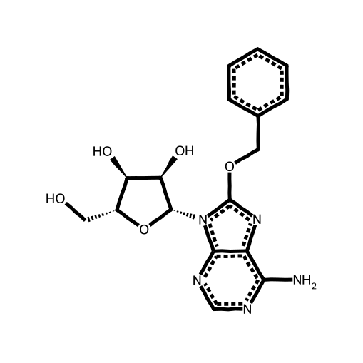 Nc1ncnc2c1nc(OCc1ccccc1)n2[C@@H]1O[C@H](CO)[C@@H](O)[C@H]1O